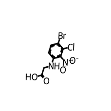 O=C(O)CNc1ccc(Br)c(Cl)c1[N+](=O)[O-]